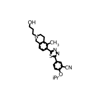 Cc1c(-c2nnc(-c3ccc(OC(C)C)c(C#N)c3)s2)ccc2c1CCN(CCCO)C2